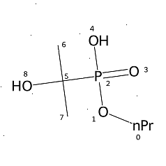 CCCOP(=O)(O)C(C)(C)O